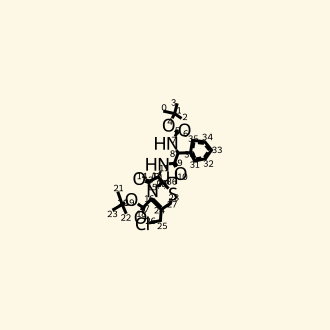 CC(C)(C)OC(=O)NC(C(=O)N[C@@H]1C(=O)N2C(C(=O)OC(C)(C)C)=C(CCl)CS[C@H]12)c1ccccc1